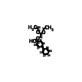 CCOC(COC1(O)C=CC(c2ccccc2)C=C1)OCC